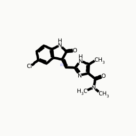 Cc1[nH]c(/C=C2\C(=O)Nc3ccc(Cl)cc32)nc1C(=O)N(C)C